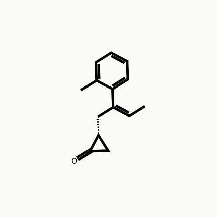 C/C=C(/C[C@@H]1CC1=O)c1ccccc1C